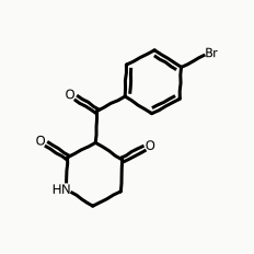 O=C1CCNC(=O)C1C(=O)c1ccc(Br)cc1